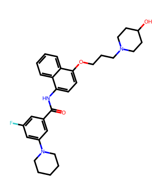 O=C(Nc1ccc(OCCCN2CCC(O)CC2)c2ccccc12)c1cc(F)cc(N2CCCCC2)c1